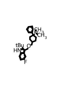 CN(C)C1(c2ccccc2)CCC(COCc2c(C(C)(C)C)[nH]c3ccc(F)cc23)CC1